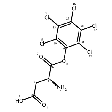 N[C@@H](CC(=O)O)C(=O)Oc1c(Cl)c(Cl)c(Cl)c(Cl)c1Cl